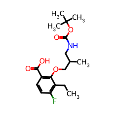 CCc1c(F)ccc(C(=O)O)c1OCC(C)CNC(=O)OC(C)(C)C